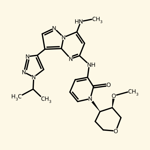 CNc1cc(Nc2cccn([C@@H]3CCOC[C@@H]3OC)c2=O)nc2c(-c3cn(C(C)C)nn3)cnn12